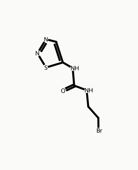 O=C(NCCBr)Nc1cnns1